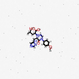 CCN(C(=O)C(Cc1cnc[nH]1)NC(CC(C)C)C(=O)O)c1ccc(OC)cc1